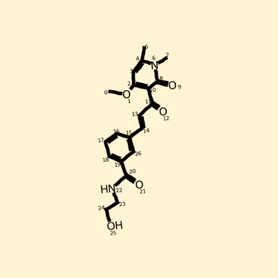 COc1cc(C)n(C)c(=O)c1C(=O)C=Cc1cccc(C(=O)NCCO)c1